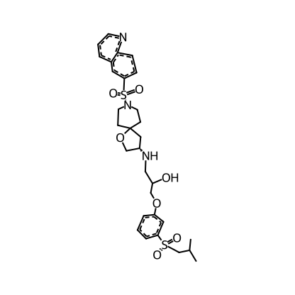 CC(C)CS(=O)(=O)c1cccc(OCC(O)CN[C@H]2COC3(CCN(S(=O)(=O)c4ccc5ncccc5c4)CC3)C2)c1